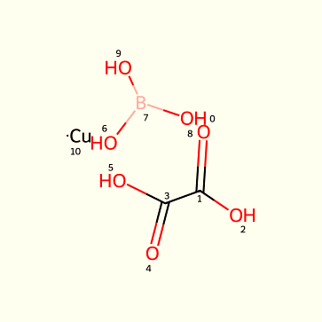 O=C(O)C(=O)O.OB(O)O.[Cu]